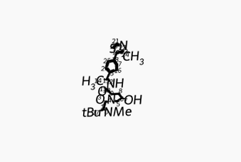 CN[C@H](C(=O)N1C[C@H](O)CC1C(=O)N[C@@H](C)c1ccc(-c2scnc2C)cc1)C(C)(C)C